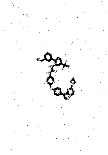 O=C(Nc1cnc(Oc2ccc(-c3cnn4ccc(N5CCC5)nc34)cc2)nc1)Nc1cc(C(F)(F)F)ccc1-c1cccc(CO)c1